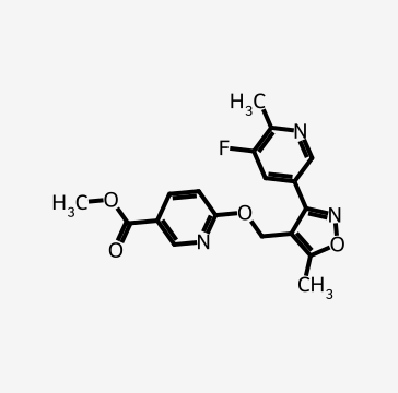 COC(=O)c1ccc(OCc2c(-c3cnc(C)c(F)c3)noc2C)nc1